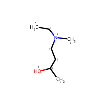 CCN(C)CCC(C)O